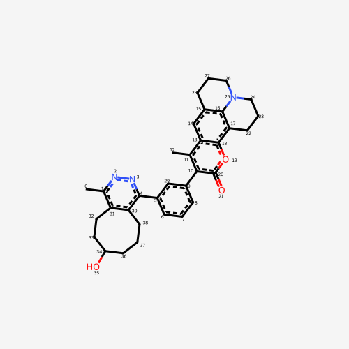 Cc1nnc(-c2cccc(-c3c(C)c4cc5c6c(c4oc3=O)CCCN6CCC5)c2)c2c1CCC(O)CCC2